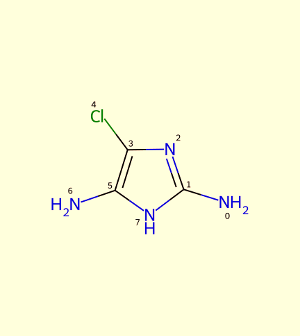 Nc1nc(Cl)c(N)[nH]1